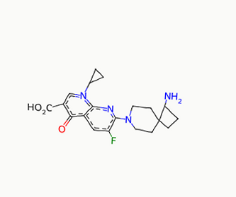 NC1CCC12CCN(c1nc3c(cc1F)c(=O)c(C(=O)O)cn3C1CC1)CC2